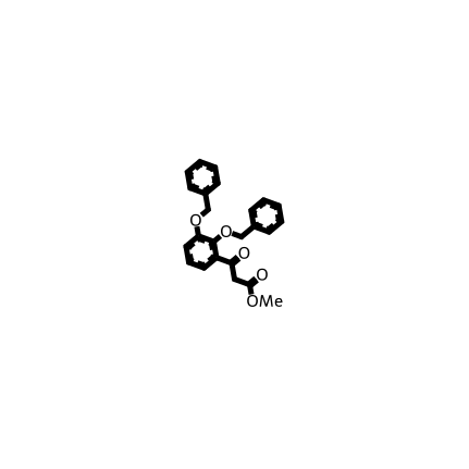 COC(=O)CC(=O)c1cccc(OCc2ccccc2)c1OCc1ccccc1